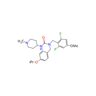 COc1cc(F)c(CN(Cc2ccc(OC(C)C)cc2)C(=O)NC2CCN(C)CC2)c(F)c1